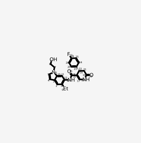 CCc1cc2ccn(CCO)c2cc1NC(=O)C1=CNC(=O)C[C@H]1c1ccc(F)cc1